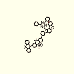 CC1(C)c2ccccc2N(c2ccc3c(c2)C(C)(C)c2cc(-c4ccc5c(c4)c4ccc6oc7ccccc7c6c4n5-c4nc(-c5ccccc5)nc(-c5ccccc5)n4)ccc2S3(=O)=O)c2ccccc21